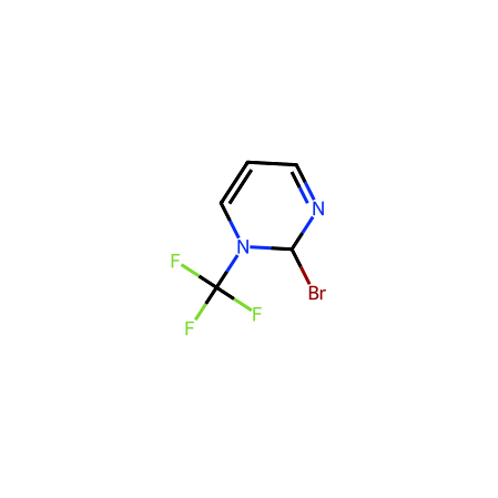 FC(F)(F)N1C=CC=NC1Br